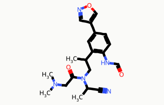 CC(CN(C(=O)CN(C)C)C(C)C#N)c1cc(-c2cnoc2)ccc1NC=O